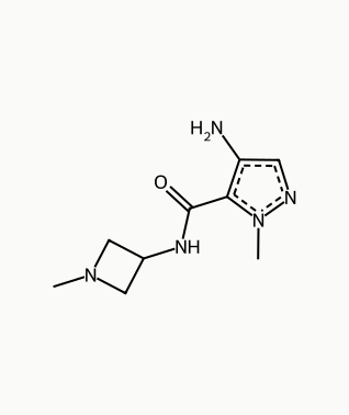 CN1CC(NC(=O)c2c(N)cnn2C)C1